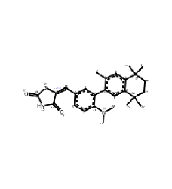 Cc1cc2c(cc1-c1cc(/C=C3/SC(=O)NC3=O)ccc1N(C)C)C(C)(C)CCC2(C)C